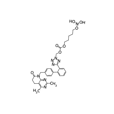 Cc1nc(C)c2c(n1)N(Cc1ccc(-c3ccccc3-c3nnn(COC(=O)OCCCCCON(O)O)n3)cc1)C(=O)CC2